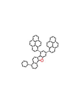 c1ccc(-c2cccc3c2ccc2c3oc3cc(-c4ccc5ccc6cccc7ccc4c5c67)cc(-c4ccc5ccc6cccc7ccc4c5c67)c32)cc1